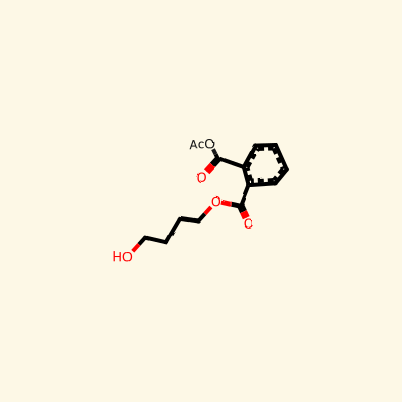 CC(=O)OC(=O)c1ccccc1C(=O)OCCCCO